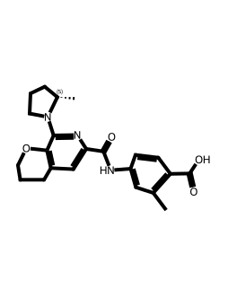 Cc1cc(NC(=O)c2cc3c(c(N4CCC[C@@H]4C)n2)OCCC3)ccc1C(=O)O